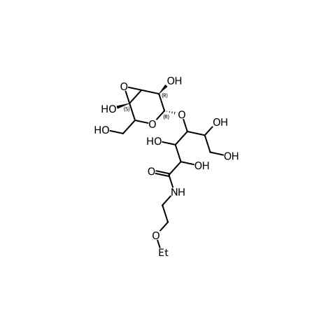 CCOCCNC(=O)C(O)C(O)C(O[C@@H]1OC(CO)[C@]2(O)OC2[C@H]1O)C(O)CO